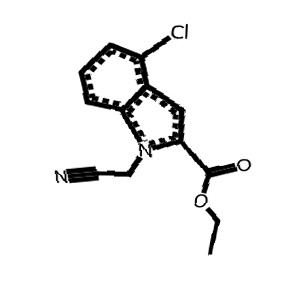 CCOC(=O)c1cc2c(Cl)cccc2n1CC#N